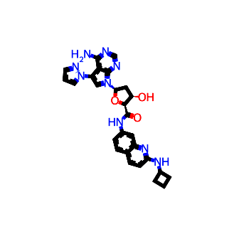 Nc1ncnc2c1c(-n1cccn1)cn2[C@H]1C[C@H](O)[C@@H](C(=O)Nc2ccc3ccc(NC4CCC4)nc3c2)O1